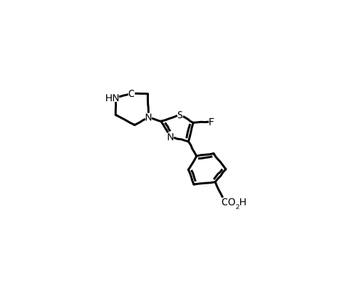 O=C(O)c1ccc(-c2nc(N3CCNCC3)sc2F)cc1